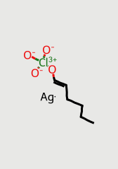 CCCCC=CO[Cl+3]([O-])([O-])[O-].[Ag]